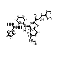 CCC(CC)CNC(=O)c1nc(N[C@H]2CCCC[C@H]2NC(=N)c2ccco2)c2cc(C)ccc2n1.Cl.Cl